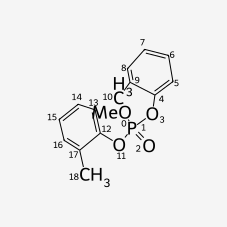 COP(=O)(Oc1ccccc1C)Oc1ccccc1C